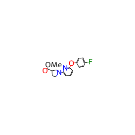 COC(=O)C1CCN(c2cccc(Oc3ccc(F)cc3)n2)C1